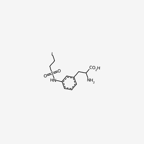 NC(Cc1cccc(NS(=O)(=O)CCI)c1)C(=O)O